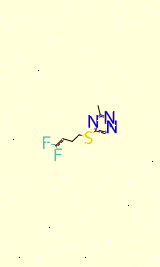 Cc1nncc(SCCC=C(F)F)n1